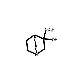 O=C(O)C1(O)CN2CCC1CC2